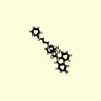 O=C(O[C@H]1C[N+]2(CCCSc3ccccn3)CCC1CC2)N(Cc1ccc(F)cc1)c1ccccc1F